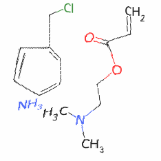 C=CC(=O)OCCN(C)C.ClCc1ccccc1.N